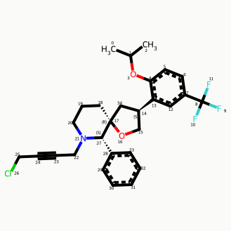 CC(C)Oc1ccc(C(F)(F)F)cc1[C@H]1CO[C@]2(CCCN(CC#CCCl)[C@H]2c2ccccc2)C1